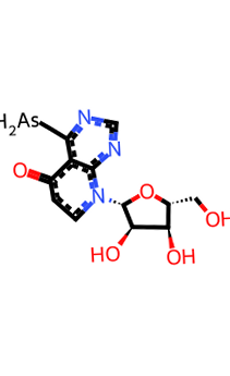 O=c1ccn([C@@H]2O[C@H](CO)[C@@H](O)[C@H]2O)c2ncnc([AsH2])c12